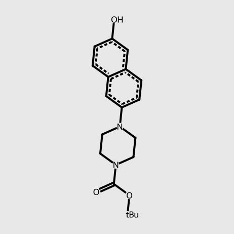 CC(C)(C)OC(=O)N1CCN(c2ccc3cc(O)ccc3c2)CC1